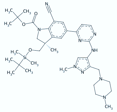 CN1CCN(Cc2nn(C)cc2Nc2nccc(-c3cc(C#N)c4c(c3)[C@@](C)(CO[Si](C)(C)C(C)(C)C)CN4C(=O)OC(C)(C)C)n2)CC1